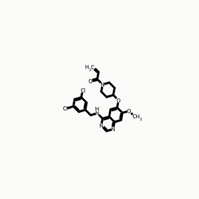 C=CC(=O)N1CCC(Oc2cc3c(NCc4cc(Cl)cc(Cl)c4)ncnc3cc2OC)CC1